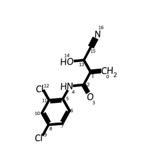 C=C(C(=O)Nc1ccc(Cl)cc1Cl)C(O)C#N